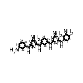 Nc1cccc(Nc2nc(N)nc(Nc3cccc(Nc4nc(N)nc(Nc5cccc(N)c5)n4)c3)n2)c1